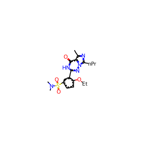 CCCc1nc(C)c2c(=O)[nH]c(-c3cc(S(=O)(=O)N(C)C)ccc3OCC)nn12